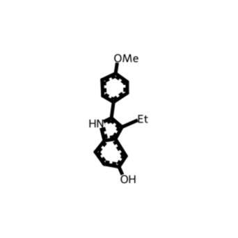 CCc1c(-c2ccc(OC)cc2)[nH]c2ccc(O)cc12